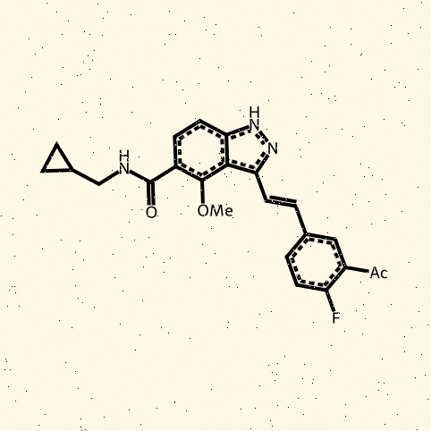 COc1c(C(=O)NCC2CC2)ccc2[nH]nc(C=Cc3ccc(F)c(C(C)=O)c3)c12